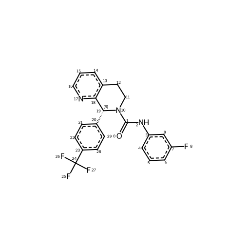 O=C(Nc1cccc(F)c1)N1CCc2cccnc2[C@H]1c1ccc(C(F)(F)F)cc1